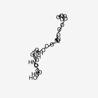 CC(C)[C@H](NC(=O)CCOCCOCCOCCn1cc(COCCOCCOCCC(=O)ON2C(=O)CCC2=O)nn1)C(=O)NCC(=O)Nc1ccc(COC(=O)NC[C@H](C)O)cc1